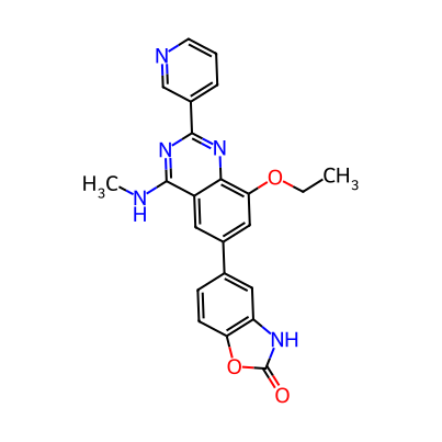 CCOc1cc(-c2ccc3oc(=O)[nH]c3c2)cc2c(NC)nc(-c3cccnc3)nc12